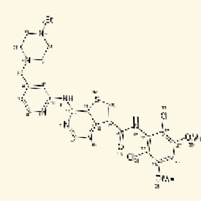 CCN1CCN(Cc2ccnc(Nc3ncnc4c(C(=O)Nc5c(Cl)c(OC)cc(OC)c5Cl)csc34)c2)CC1